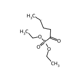 C[CH]CCC(=O)P(=O)(OCC)OCC